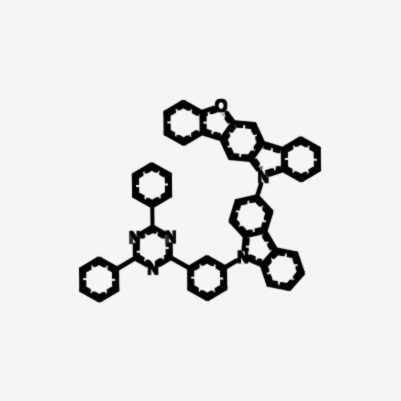 c1ccc(-c2nc(-c3ccccc3)nc(-c3cccc(-n4c5ccccc5c5cc(-n6c7ccccc7c7cc8oc9ccccc9c8cc76)ccc54)c3)n2)cc1